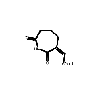 CCCCCC=C1CCCC(=O)NC1=O